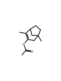 CC(=O)OC1=C(C)C2CCC(C)(C1)C2